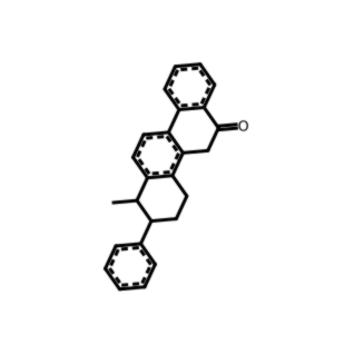 CC1c2ccc3c(c2CCC1c1ccccc1)CC(=O)c1ccccc1-3